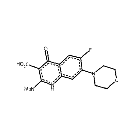 CNc1[nH]c2cc(N3CCOCC3)c(F)cc2c(=O)c1C(=O)O